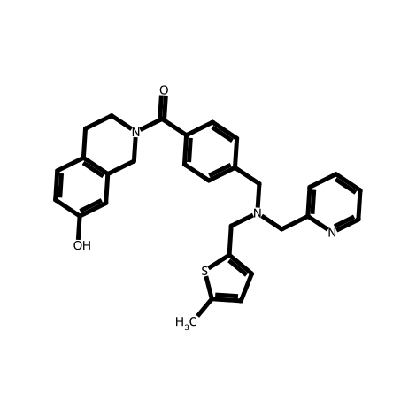 Cc1ccc(CN(Cc2ccc(C(=O)N3CCc4ccc(O)cc4C3)cc2)Cc2ccccn2)s1